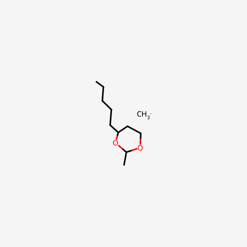 CCCCCC1CCOC(C)O1.[CH3]